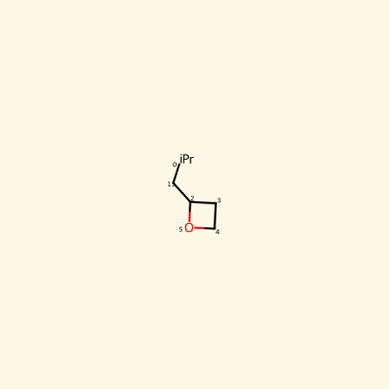 CC(C)[CH]C1CCO1